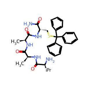 CC(C)[C@H](N)C(=O)N[C@@H](C)C(=O)N[C@@H](C)C(=O)N[C@@H](CSC(c1ccccc1)(c1ccccc1)c1ccccc1)C(N)=O